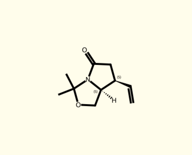 C=C[C@@H]1CC(=O)N2[C@@H]1COC2(C)C